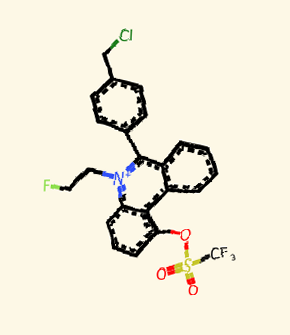 O=S(=O)(Oc1cccc2c1c1ccccc1c(-c1ccc(CCl)cc1)[n+]2CCF)C(F)(F)F